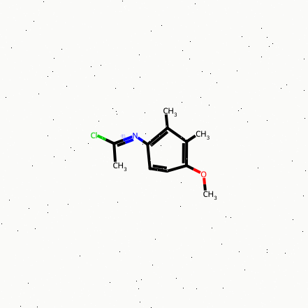 COc1ccc(/N=C(\C)Cl)c(C)c1C